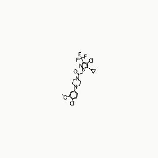 COc1cc(N2CCN(C(=O)Cn3nc(C(F)(F)F)c(Cl)c3C3CC3)CC2)ccc1Cl